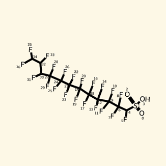 O=S(=O)(O)C(F)C(F)(F)C(F)(F)C(F)(F)C(F)(F)C(F)(F)C(F)(F)C(F)(F)C(F)(F)C(F)C(F)C(F)F